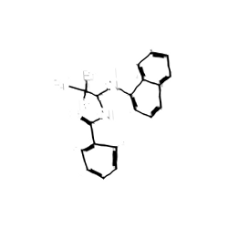 O=C(NC(Nc1cccc2ccccc12)C(Br)(Br)Br)c1ccccc1